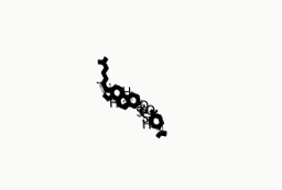 C=C(C)[C@H]1CC[C@@]2(C)O[P@](=S)(O[C@H]3CC[C@@]4(C)C(=CC[C@H]5[C@@H]6CC[C@H]([C@H](C)CCCC(C)C)[C@@]6(C)CC[C@@H]54)C3)S[C@@H]2C1